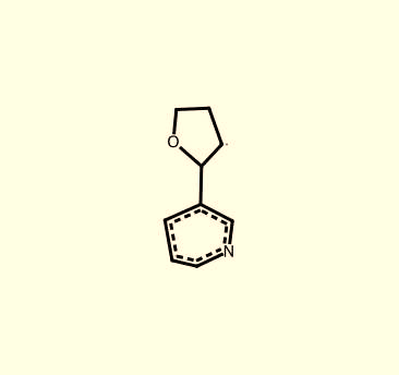 [CH]1CCOC1c1cccnc1